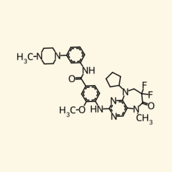 COc1cc(C(=O)Nc2cccc(N3CCN(C)CC3)c2)ccc1Nc1ncc2c(n1)N(C1CCCC1)CC(F)(F)C(=O)N2C